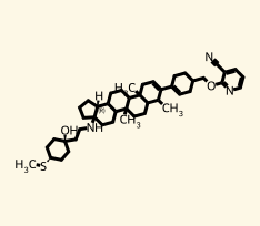 CS[C@H]1CC[C@@](O)(CCNC23CCC[C@@H]2C2CCC4C5(C)CC=C(C6=CCC(COc7ncccc7C#N)CC6)C(C)C5CCC4(C)C2CC3)CC1